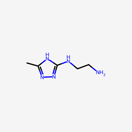 Cc1nnc(NCCN)[nH]1